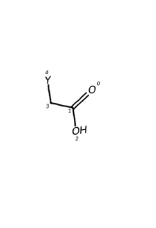 O=C(O)[CH2][Y]